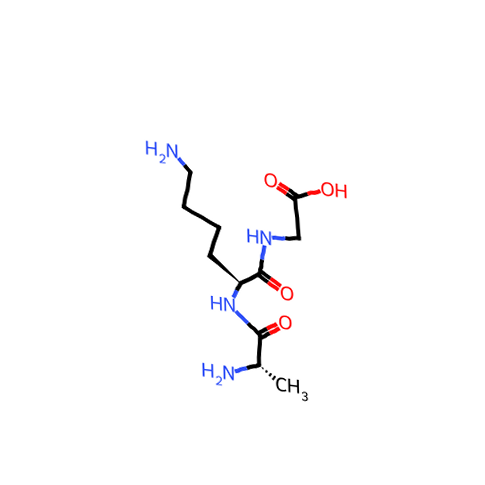 C[C@H](N)C(=O)N[C@@H](CCCCN)C(=O)NCC(=O)O